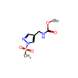 CC(C)(C)OC(=O)NCc1cnn(S(C)(=O)=O)c1